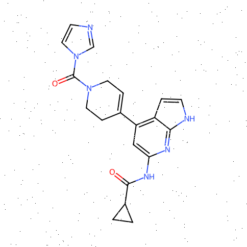 O=C(Nc1cc(C2=CCN(C(=O)n3ccnc3)CC2)c2cc[nH]c2n1)C1CC1